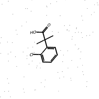 CC(C)(C(=O)O)c1ccccc1Cl